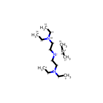 CCN(CC)CC[N-]CCN(CC)CC.[CH3][In+][CH3]